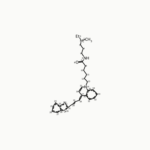 CCN(C)CCCNC(=O)CCCCCN1C=CC(=CC=Cc2nc3ccccc3s2)c2ccccc21